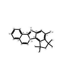 CC1(C)CC(C)(C)c2c1c(F)cc1nc3c4ccccc4ccn3c21